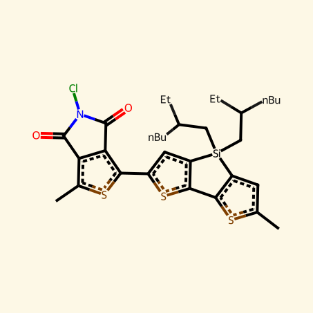 CCCCC(CC)C[Si]1(CC(CC)CCCC)c2cc(C)sc2-c2sc(-c3sc(C)c4c3C(=O)N(Cl)C4=O)cc21